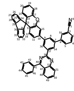 N#Cc1cccc(-c2cc(-c3ccc4c(c3)Oc3ccccc3C43c4ccccc4-c4ccccc43)cc(-c3nc(-c4ccccc4)c4ccccc4n3)c2)c1